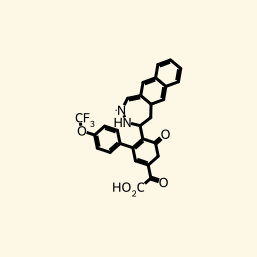 O=C(O)C(=O)C1=CC(c2ccc(OC(F)(F)F)cc2)=C(C2CC3C=c4ccccc4=CC3=C[N]N2)C(=O)C1